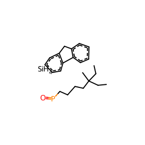 CCC(C)(CC)CCCCP=O.[SiH4].c1ccc2c(c1)Cc1ccccc1-2